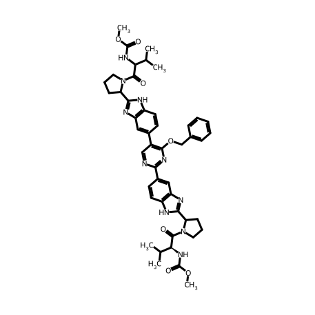 COC(=O)NC(C(=O)N1CCCC1c1nc2cc(-c3cnc(-c4ccc5[nH]c(C6CCCN6C(=O)[C@@H](NC(=O)OC)C(C)C)nc5c4)nc3OCc3ccccc3)ccc2[nH]1)C(C)C